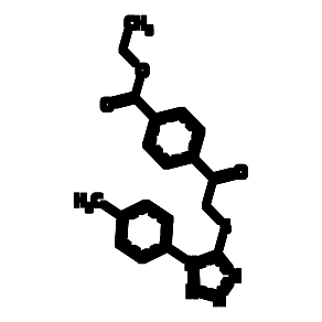 CCOC(=O)c1ccc(C(=O)CSc2nnnn2-c2ccc(C)cc2)cc1